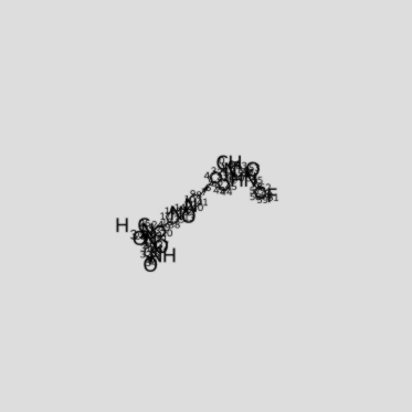 CC(c1ccc(C#CC2CCN(C(=O)CN3CCC(c4ccc5c(c4)n(C)c(=O)n5C4CCC(=O)NC4=O)CC3)CC2)c2ccccc12)N1CCC(C(=O)NCc2cccc(F)c2)CC1